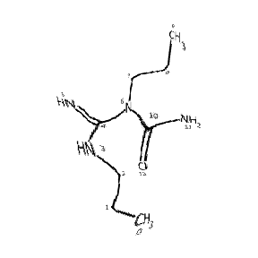 CCCNC(=N)N(CCC)C(N)=O